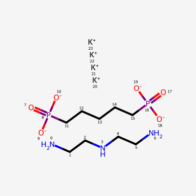 NCCNCCN.O=P([O-])([O-])CCCCCP(=O)([O-])[O-].[K+].[K+].[K+].[K+]